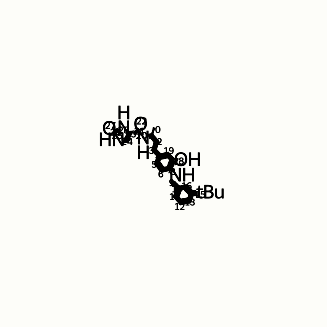 C[C@@H](CCc1ccc(NCc2cccc(C(C)(C)C)c2)c(O)c1)NC(=O)[C@@H]1CNC(=O)N1